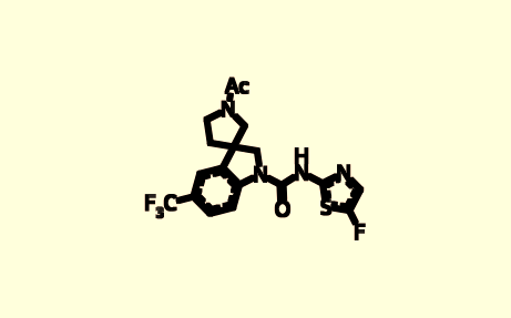 CC(=O)N1CCC2(C1)CN(C(=O)Nc1ncc(F)s1)c1ccc(C(F)(F)F)cc12